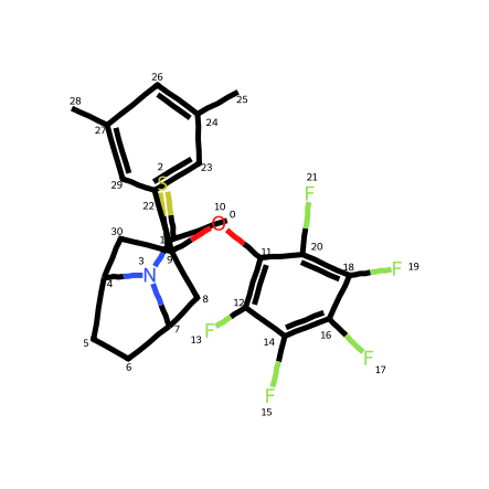 CC(=S)N1C2CCC1CC(Oc1c(F)c(F)c(F)c(F)c1F)(c1cc(C)cc(C)c1)C2